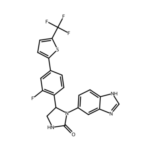 O=C1NCC(c2ccc(-c3ccc(C(F)(F)F)s3)cc2F)N1c1ccc2[nH]cnc2c1